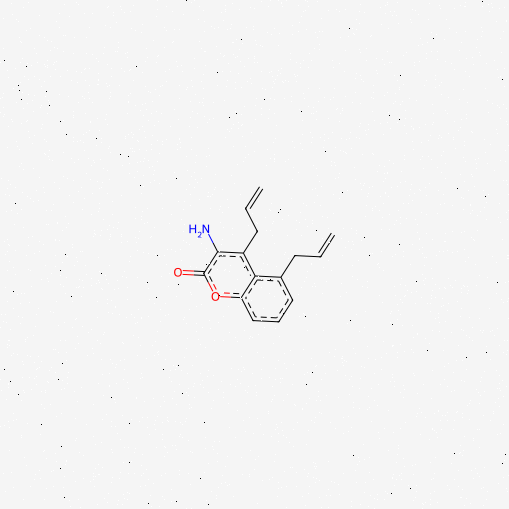 C=CCc1cccc2oc(=O)c(N)c(CC=C)c12